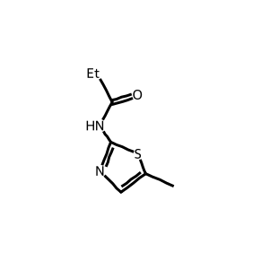 CCC(=O)Nc1ncc(C)s1